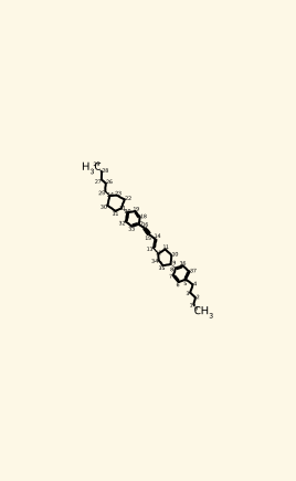 CCCCCc1ccc([C@H]2CC[C@H](/C=C/C#Cc3ccc([C@H]4CC[C@H](CCCCC)CC4)cc3)CC2)cc1